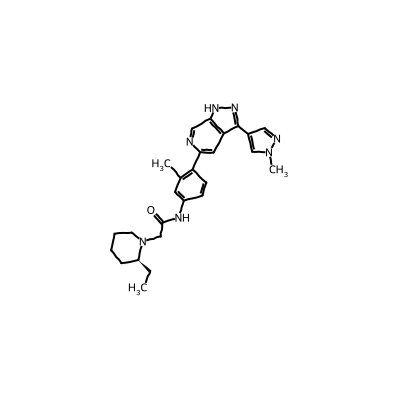 CC[C@H]1CCCCN1CC(=O)Nc1ccc(-c2cc3c(-c4cnn(C)c4)n[nH]c3cn2)c(C)c1